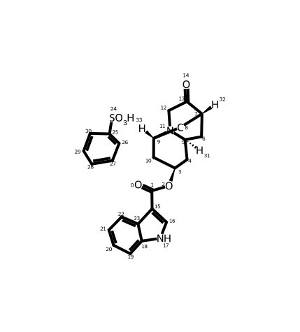 O=C(O[C@@H]1C[C@@H]2C[C@@H]3C[C@H](C1)N2CC3=O)c1c[nH]c2ccccc12.O=S(=O)(O)c1ccccc1